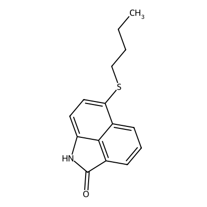 CCCCSc1ccc2c3c(cccc13)C(=O)N2